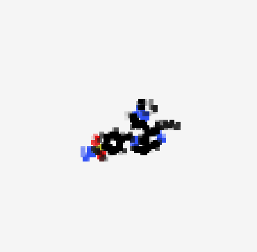 COc1ncc2ccn(Cc3ccc(S(N)(=O)=O)cc3)c2c1-c1ccn(C)n1